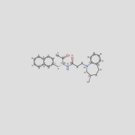 [2H]C(=O)[C@@H](Cc1ccc2ccccc2c1)NC(=O)CCN1CC(I)CCc2ccccc21